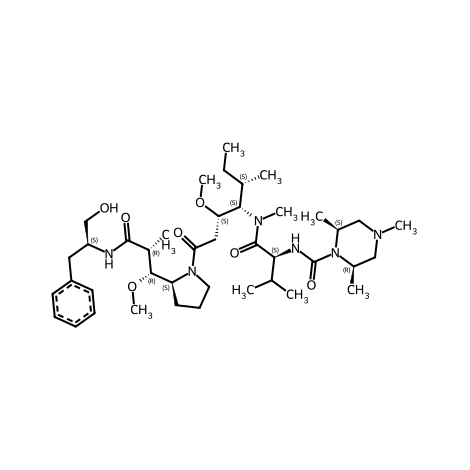 CC[C@H](C)[C@@H]([C@H](CC(=O)N1CCC[C@H]1[C@H](OC)[C@@H](C)C(=O)N[C@H](CO)Cc1ccccc1)OC)N(C)C(=O)[C@@H](NC(=O)N1[C@H](C)CN(C)C[C@@H]1C)C(C)C